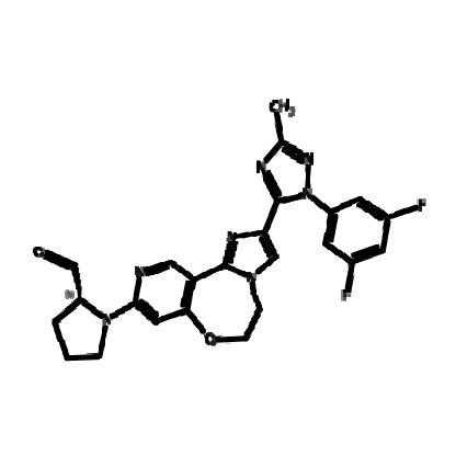 Cc1nc(-c2cn3c(n2)-c2cnc(N4CCC[C@H]4C=O)cc2OCC3)n(-c2cc(F)cc(F)c2)n1